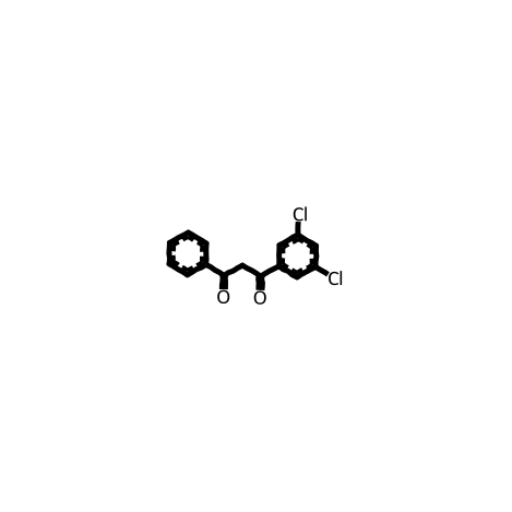 O=C(CC(=O)c1cc(Cl)cc(Cl)c1)c1ccccc1